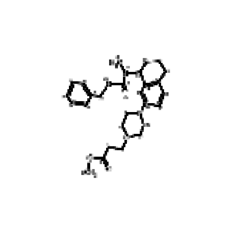 COC(=O)CCN1CCN(c2ccc3c(c2)C(N(C)C(=O)OCc2ccccc2)CCC3)CC1